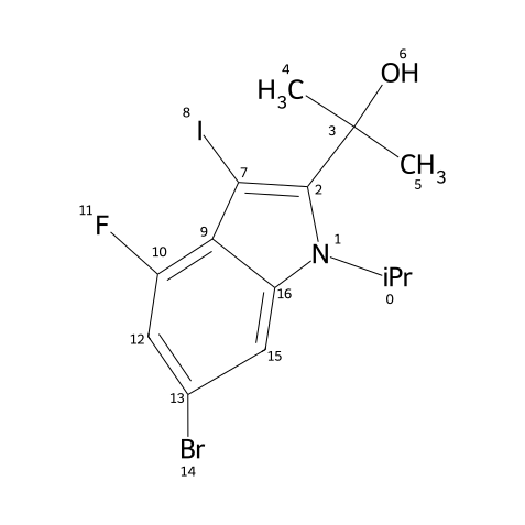 CC(C)n1c(C(C)(C)O)c(I)c2c(F)cc(Br)cc21